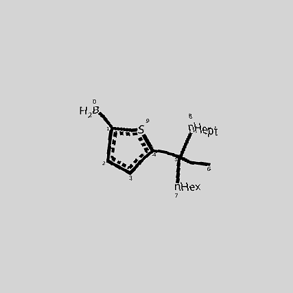 Bc1ccc(C(C)(CCCCCC)CCCCCCC)s1